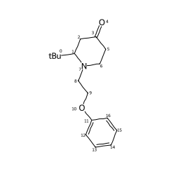 CC(C)(C)C1CC(=O)CCN1CCOc1ccccc1